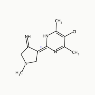 CC1=N/C(=C2\CN(C)CC2=N)NC(C)=C1Cl